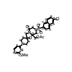 CSc1nccc(N2CCC3(CC2)CN2C(=O)CN(S(=O)(=O)c4ccc5cc(Cl)ccc5c4)CC2(COC(C)=O)O3)n1